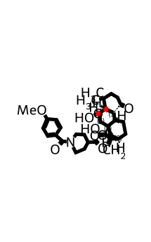 C=C1C(=O)[C@]23[C@H](OC(=O)C4CCN(C(=O)c5ccc(OC)cc5)CC4)[C@H]1CC[C@H]2[C@@]12CO[C@]3(O)[C@@H](O)[C@@H]1C(C)(C)CCC2=O